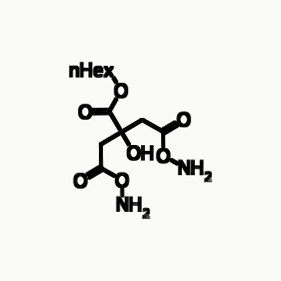 CCCCCCOC(=O)C(O)(CC(=O)ON)CC(=O)ON